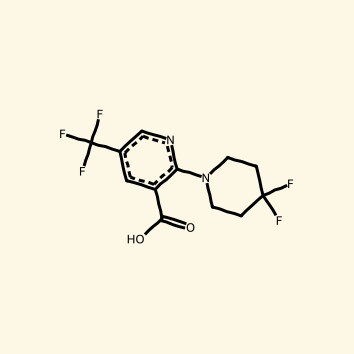 O=C(O)c1cc(C(F)(F)F)cnc1N1CCC(F)(F)CC1